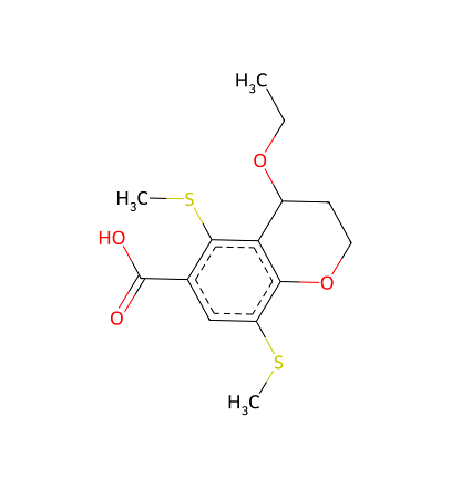 CCOC1CCOc2c(SC)cc(C(=O)O)c(SC)c21